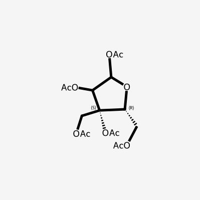 CC(=O)OC[C@H]1OC(OC(C)=O)C(OC(C)=O)[C@@]1(COC(C)=O)OC(C)=O